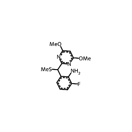 COc1cc(OC)nc(C(SC)c2cccc(F)c2N)n1